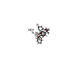 Cl.N#C[C@@H]1C[C@H](F)CN1C(=O)[C@@H](N)C1CC2CCC(C1)N2C(=O)c1ccc(C(F)(F)F)cc1